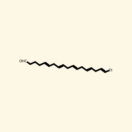 CC/C=C/C/C=C/C/C=C/C/C=C/C/C=C/CCCC=O